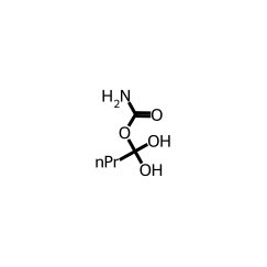 CCCC(O)(O)OC(N)=O